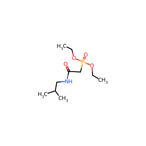 CCOP(=O)(CC(=O)NCC(C)C)OCC